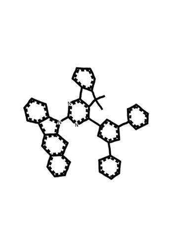 CC1(C)c2ccccc2-c2nc(-n3c4ccccc4c4cc5ccccc5cc43)nc(-c3cc(-c4ccccc4)cc(-c4ccccc4)c3)c21